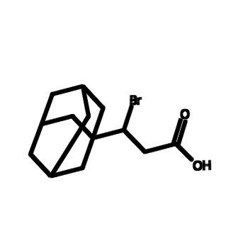 O=C(O)CC(Br)C12CC3CC(CC(C3)C1)C2